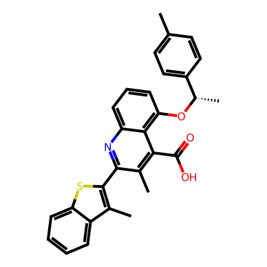 Cc1ccc([C@H](C)Oc2cccc3nc(-c4sc5ccccc5c4C)c(C)c(C(=O)O)c23)cc1